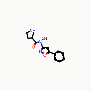 N#CN(C(=O)C1CCNC1)c1cc(-c2ccccc2)on1